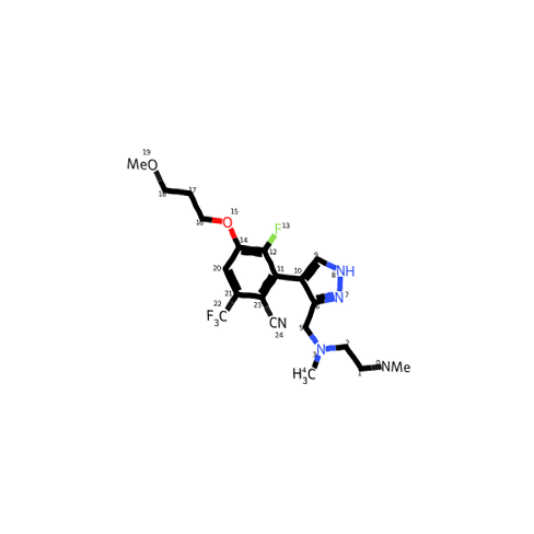 CNCCN(C)Cc1n[nH]cc1-c1c(F)c(OCCCOC)cc(C(F)(F)F)c1C#N